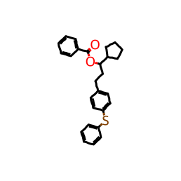 O=C(OC(CCc1ccc(Sc2ccccc2)cc1)C1CCCC1)c1ccccc1